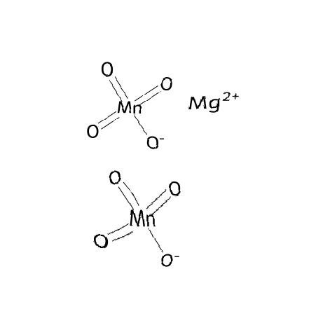 [Mg+2].[O]=[Mn](=[O])(=[O])[O-].[O]=[Mn](=[O])(=[O])[O-]